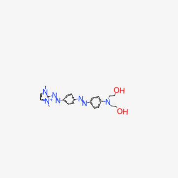 Cn1cc[n+](C)c1/N=N/c1ccc(/N=N/c2ccc(N(CCO)CCO)cc2)cc1